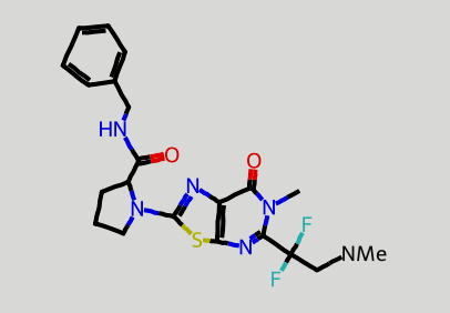 CNCC(F)(F)c1nc2sc(N3CCCC3C(=O)NCc3ccccc3)nc2c(=O)n1C